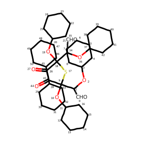 O=CC(OC1CCCCC1)C(OC1CCCCC1)(SC(OC1CCCCC1)(C(=O)C1CCCCC1)C(C=O)OC1CCCCC1)C(=O)C1CCCCC1